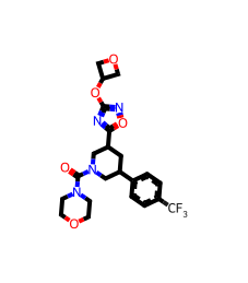 O=C(N1CCOCC1)N1CC(c2ccc(C(F)(F)F)cc2)CC(c2nc(OC3COC3)no2)C1